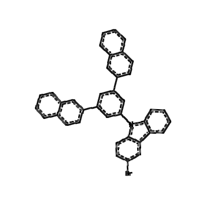 Brc1ccc2c(c1)c1ccccc1n2-c1cc(-c2ccc3ccccc3c2)cc(-c2ccc3ccccc3c2)c1